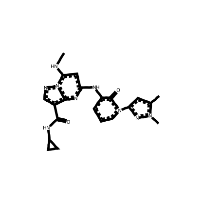 CNc1cc(Nc2cccn(-c3cc(C)n(C)n3)c2=O)nc2c(C(=O)NC3CC3)cnn12